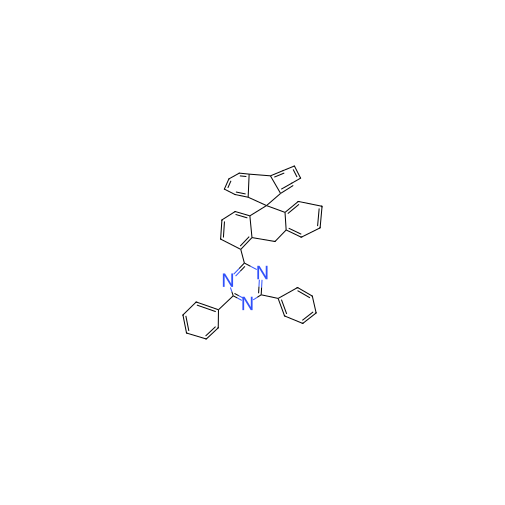 c1ccc(-c2nc(-c3ccccc3)nc(-c3cccc4c3Cc3ccccc3C43c4ccccc4-c4ccccc43)n2)cc1